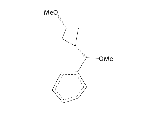 COC(c1ccccc1)[C@H]1C[C@@H](OC)C1